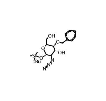 CC(C)(C)[Si](C)(C)O[C@H]1OC(CO)[C@@H](OCc2ccccc2)[C@H](O)C1N=[N+]=[N-]